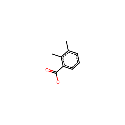 Cc1cccc(C([O])=O)c1C